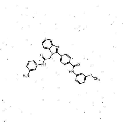 COc1cccc(NC(=O)c2ccc(-c3nc4ccccc4n3CC(=O)Nc3cccc(N)c3)cc2)c1